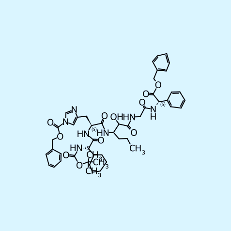 CCCC(NC(=O)[C@H](Cc1cn(C(=O)OCc2ccccc2)cn1)NC(=O)[C@@H](NC(=O)OC(C)(C)C)C1CCCCC1)C(O)C(=O)NCC(=O)N[C@H](C(=O)OCc1ccccc1)c1ccccc1